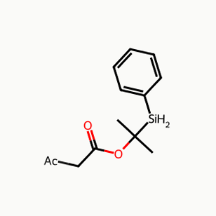 CC(=O)CC(=O)OC(C)(C)[SiH2]c1ccccc1